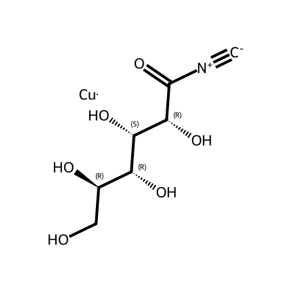 [C-]#[N+]C(=O)[C@H](O)[C@@H](O)[C@H](O)[C@H](O)CO.[Cu]